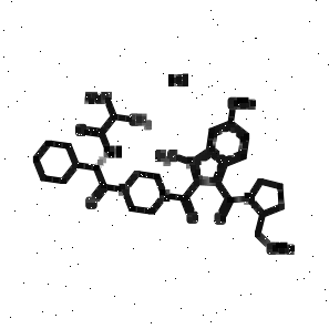 CNC(C)C(=O)N[C@H](C(=O)N1CCN(C(=O)c2c(C(=O)N3CCCC3COC)c3ccc(OC)cc3n2C)CC1)C1CCCCC1.Cl